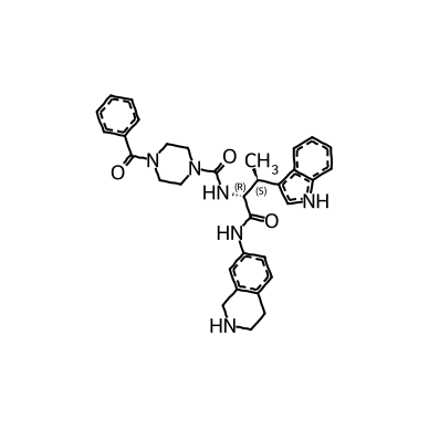 C[C@@H](c1c[nH]c2ccccc12)[C@@H](NC(=O)N1CCN(C(=O)c2ccccc2)CC1)C(=O)Nc1ccc2c(c1)CNCC2